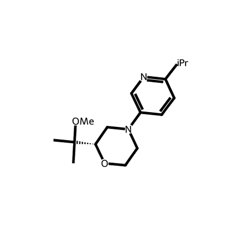 COC(C)(C)[C@@H]1CN(c2ccc(C(C)C)nc2)CCO1